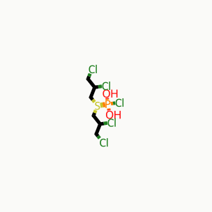 OP(O)(Cl)=S(CC(Cl)CCl)CC(Cl)CCl